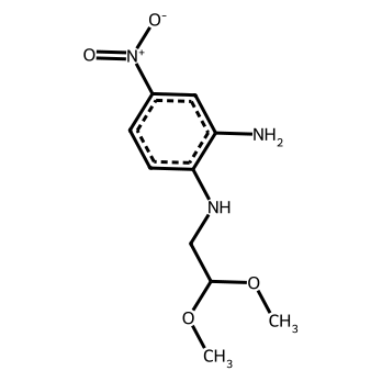 COC(CNc1ccc([N+](=O)[O-])cc1N)OC